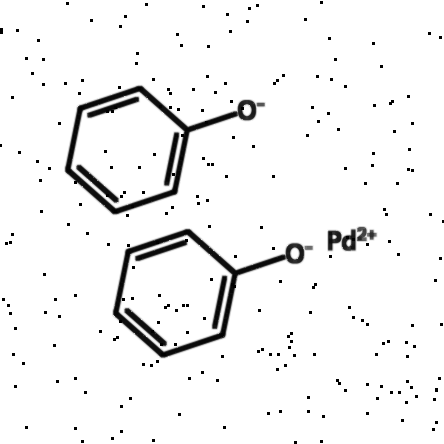 [O-]c1ccccc1.[O-]c1ccccc1.[Pd+2]